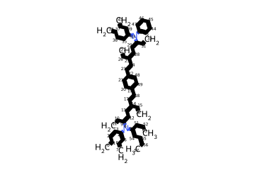 C=C/C=C\C(=C/C=C)N(/C(C=C)=C/C=C(\C=C)C=Cc1ccc(C=C/C(C=C)=C/C=C(\C=C)N(C(/C=C\C=C)=C/C=C)c2ccccc2)cc1)C(/C=C\C)=C/C=C\C